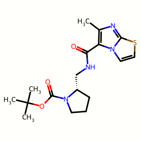 Cc1nc2sccn2c1C(=O)NC[C@@H]1CCCN1C(=O)OC(C)(C)C